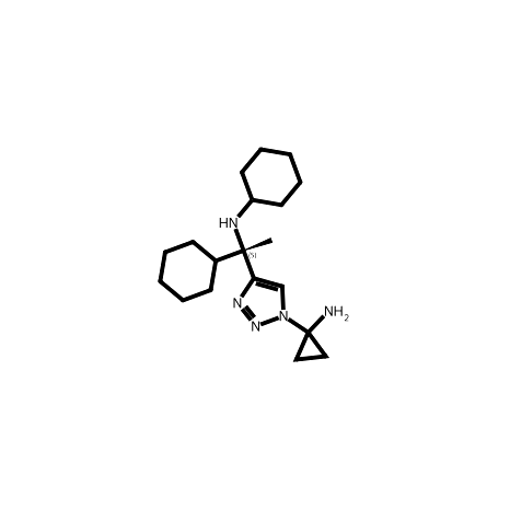 C[C@@](NC1CCCCC1)(c1cn(C2(N)CC2)nn1)C1CCCCC1